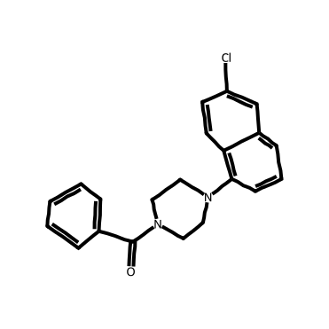 O=C(c1ccccc1)N1CCN(c2cccc3cc(Cl)ccc23)CC1